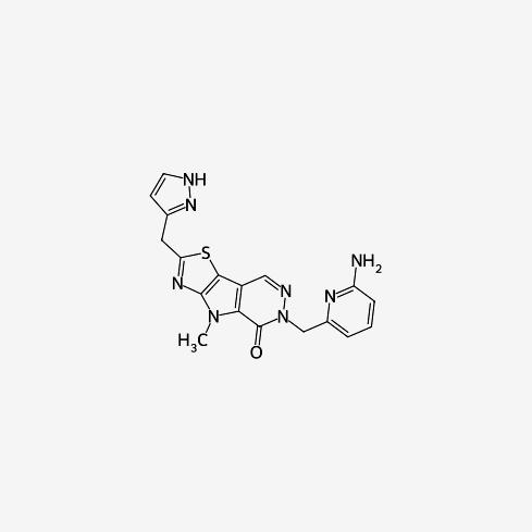 Cn1c2nc(Cc3cc[nH]n3)sc2c2cnn(Cc3cccc(N)n3)c(=O)c21